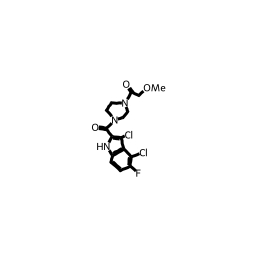 COCC(=O)N1CCN(C(=O)c2[nH]c3ccc(F)c(Cl)c3c2Cl)CC1